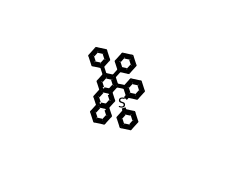 c1ccc(Sc2ccccc2-c2c(-c3ccccc3)c(-c3ccccc3)cc3cc4ccccc4cc23)cc1